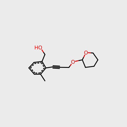 Cc1cccc(CO)c1C#CCOC1CCCCO1